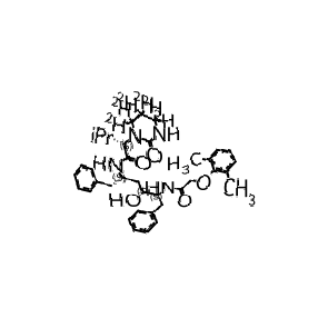 [2H]C1([2H])NC(=O)N([C@H](C(=O)N[C@@H](Cc2ccccc2)C[C@H](O)[C@H](Cc2ccccc2)NC(=O)COc2c(C)cccc2C)C(C)C)C([2H])([2H])C1([2H])[2H]